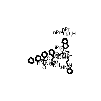 CCCC(CCC)C(=O)O.COCC(=O)O[C@]1(CCN(C)CCCc2nc3ccccc3[nH]2)CCc2cc(F)ccc2[C@@H]1C(C)C.NS(=O)(=O)Cc1noc2ccccc12.O=C1NC(=O)C(c2ccccc2)(c2ccccc2)N1.c1ccccc1